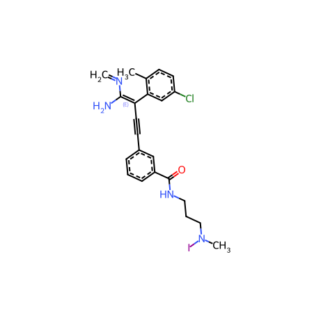 C=N/C(N)=C(/C#Cc1cccc(C(=O)NCCCN(C)I)c1)c1cc(Cl)ccc1C